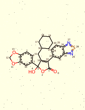 O=C1OC(O)(c2ccc3c(c2)OCO3)C(CC2CCCCC2)=C1c1ccc2nsnc2c1